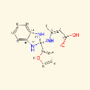 C/C(=C/C(=O)O)NC1(c2ccco2)Nc2ccccc2N1